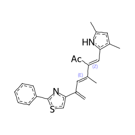 C=C(/C=C(C)/C(=C/c1[nH]c(C)cc1C)C(C)=O)c1csc(-c2ccccc2)n1